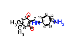 CC1(C)CC(=O)C(=CNC2C=CC=C(N)C=C2)C(=O)C1